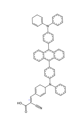 N#C/C(=C\C1=CCC(N(c2ccccc2)c2ccc(-c3c4ccccc4c(-c4ccc(N(C5=CCCC=C5)c5ccccc5)cc4)c4ccccc34)cc2)C=C1)C(=O)O